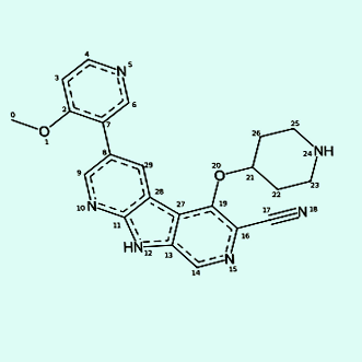 COc1ccncc1-c1cnc2[nH]c3cnc(C#N)c(OC4CCNCC4)c3c2c1